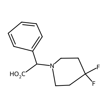 O=C(O)C(c1ccccc1)N1CCC(F)(F)CC1